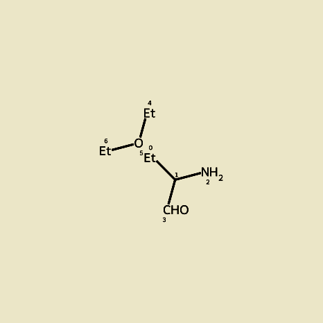 CCC(N)C=O.CCOCC